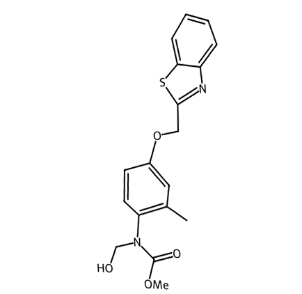 COC(=O)N(CO)c1ccc(OCc2nc3ccccc3s2)cc1C